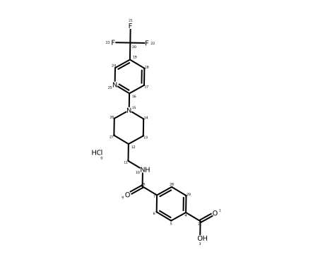 Cl.O=C(O)c1ccc(C(=O)NCC2CCN(c3ccc(C(F)(F)F)cn3)CC2)cc1